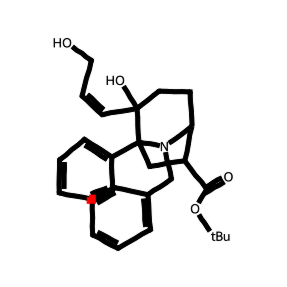 CC(C)(C)OC(=O)C1CC2(c3ccccc3)N(Cc3ccccc3)C1CCC2(O)/C=C\CO